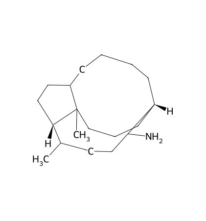 CC1CCC(N)[C@@H]2CCCCC3CC[C@@H]1C3(C)CCC2